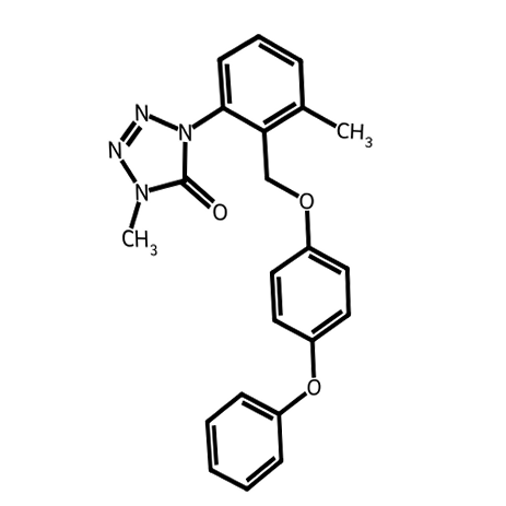 Cc1cccc(-n2nnn(C)c2=O)c1COc1ccc(Oc2ccccc2)cc1